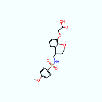 COc1ccc(S(=O)(=O)NCC2CCOc3c(OCC(=O)O)cccc32)cc1